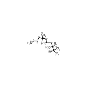 CC(C)C(C(F)(F)F)(C(F)(F)F)C(C)(C)CCOC(C)(C)CSCN